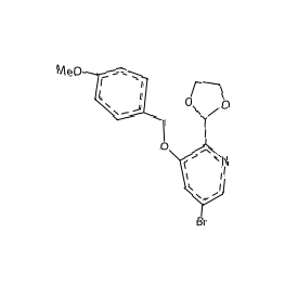 COc1ccc(COc2cc(Br)cnc2C2OCCO2)cc1